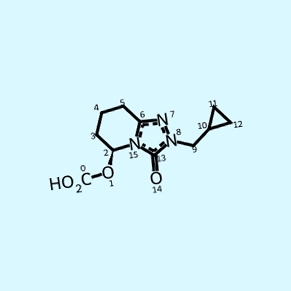 O=C(O)O[C@H]1CCCc2nn(CC3CC3)c(=O)n21